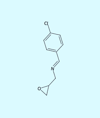 Clc1ccc(/C=N/CC2CO2)cc1